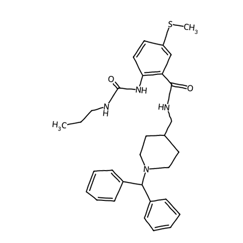 CCCNC(=O)Nc1ccc(SC)cc1C(=O)NCC1CCN(C(c2ccccc2)c2ccccc2)CC1